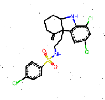 C=C1CCCC2Nc3c(Cl)cc(Cl)cc3C12CCNS(=O)(=O)c1ccc(Cl)cc1